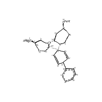 CCCCCCC[C@H]1CO[C@H](C2([C@H]3CC[C@H](CCCCC)CC3)C=CC(c3ccccc3)C=C2)CO1